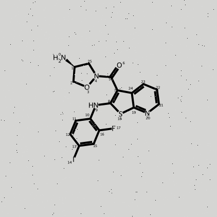 N[C@@H]1CON(C(=O)c2c(Nc3ccc(I)cc3F)sc3ncccc23)C1